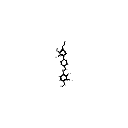 CCCc1ccc(C2CCC(COc3ccc(CC)c(F)c3F)CC2)c(F)c1F